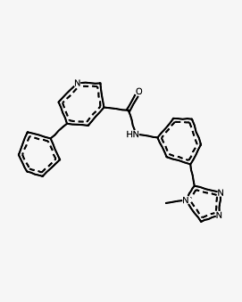 Cn1cnnc1-c1cccc(NC(=O)c2cncc(-c3ccccc3)c2)c1